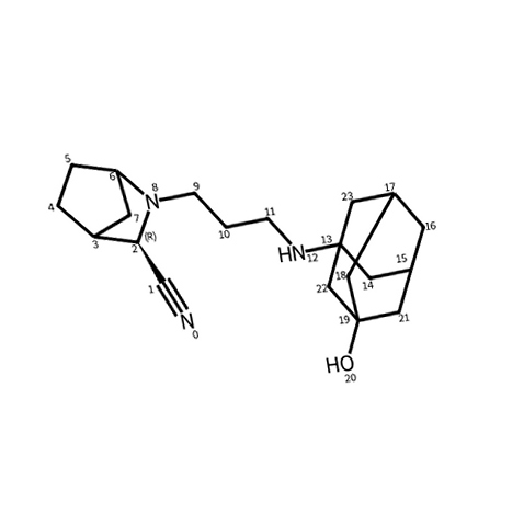 N#C[C@H]1C2CCC(C2)N1CCCNC12CC3CC(CC(O)(C3)C1)C2